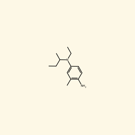 CCC(C)N(CC)c1ccc(N)c(C)c1